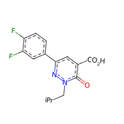 CC(C)Cn1nc(-c2ccc(F)c(F)c2)cc(C(=O)O)c1=O